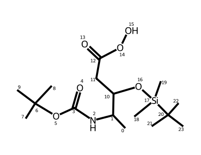 CC(NC(=O)OC(C)(C)C)C(CC(=O)OO)O[Si](C)(C)C(C)(C)C